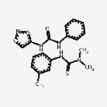 Cc1cccc(NC(=S)N(C)C)c1.O=C(Nc1ccccc1)Nc1cnns1